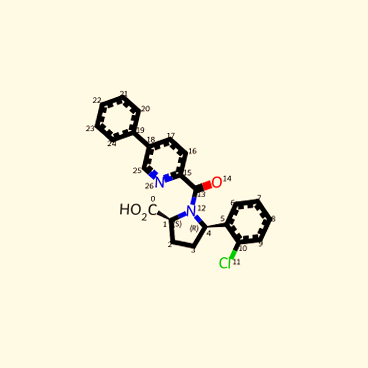 O=C(O)[C@@H]1CC[C@H](c2ccccc2Cl)N1C(=O)c1ccc(-c2ccccc2)cn1